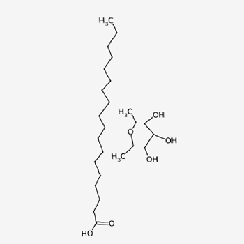 CCCCCCCCCCCCCCCCCC(=O)O.CCOCC.OCC(O)CO